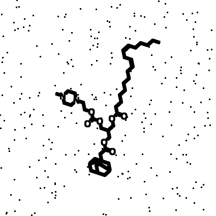 CCCCC/C=C\C/C=C\CCCCCCCC(=O)OCC(COC(=O)CC12CC3CC(CC(C3)C1)C2)COC(=O)OCCN1CCN(C)CC1